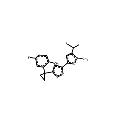 Cc1ccc(F)cc1C1(c2cc(-c3cc(C(F)F)n(C)n3)on2)CC1